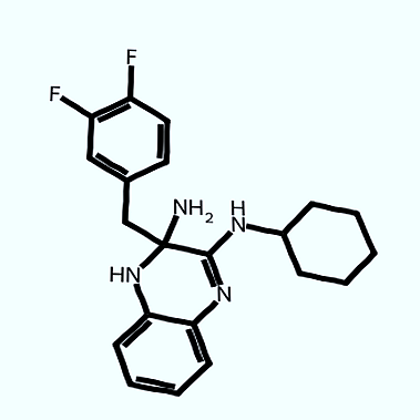 NC1(Cc2ccc(F)c(F)c2)Nc2ccccc2N=C1NC1CCCCC1